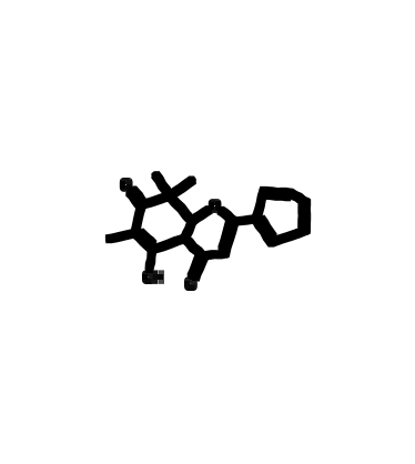 CC1=C(O)C2C(=O)C=C(c3ccccc3)OC2C(C)(C)C1=O